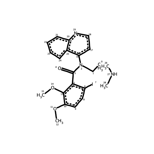 CCN(C(=O)c1c(I)ccc(OC)c1OC)c1ccnc2ccccc12.CNC